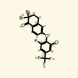 O=C1c2ccc(Oc3c(F)cc(C(F)(F)F)cc3Cl)cc2CCC1(Br)Br